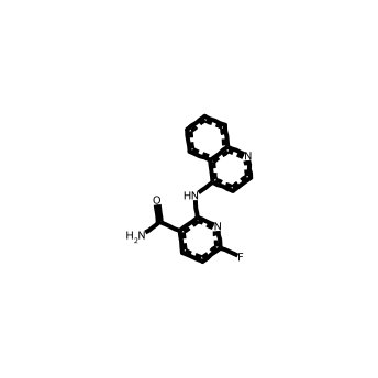 NC(=O)c1ccc(F)nc1Nc1ccnc2ccccc12